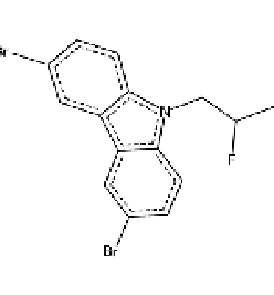 CC(F)Cn1c2ccc(Br)cc2c2cc(Br)ccc21